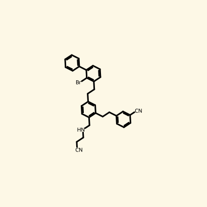 N#CCCNCc1ccc(CCc2cccc(-c3ccccc3)c2Br)cc1CCc1cccc(C#N)c1